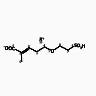 CC(=CCCOCCS(=O)(=O)O)C(=O)[O-].[K+]